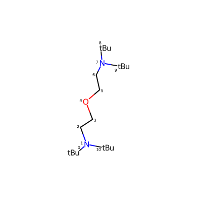 CC(C)(C)N(CCOCCN(C(C)(C)C)C(C)(C)C)C(C)(C)C